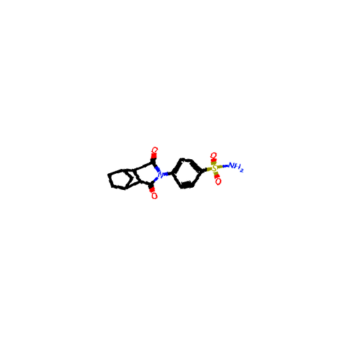 NS(=O)(=O)c1ccc(N2C(=O)C3C4CCC(C4)C3C2=O)cc1